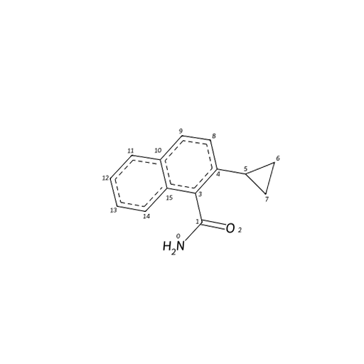 NC(=O)c1c(C2CC2)ccc2ccccc12